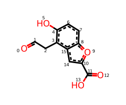 O=CCc1c(O)ccc2oc(C(=O)O)cc12